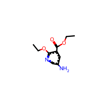 CCOC(=O)c1cc(N)cnc1OCC